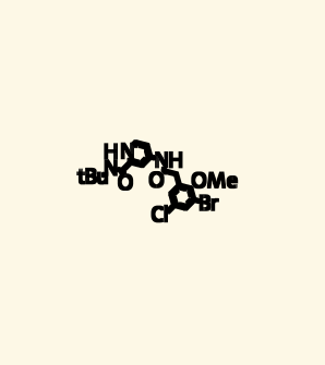 COc1c(Br)cc(Cl)cc1CC(=O)Nc1ccnc(C(=O)NC(C)(C)C)c1